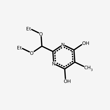 CCOC(OCC)c1nc(O)c(C)c(O)n1